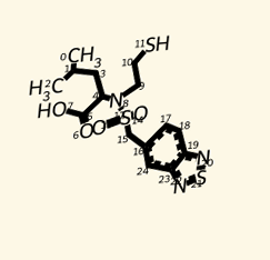 CC(C)CC(C(=O)O)N(CCS)S(=O)(=O)Cc1ccc2nsnc2c1